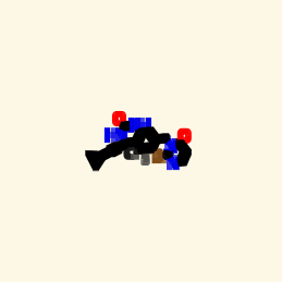 O=C1Nc2cc(Cn3cnccc3=O)c(Br)cc2[C@@](C#CC2CC2)(C(F)(F)F)N1